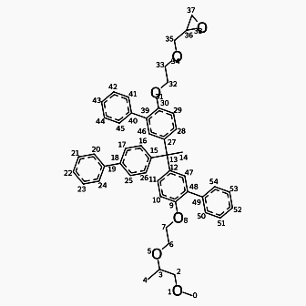 COCC(C)OCCOc1ccc(C(C)(c2ccc(-c3ccccc3)cc2)c2ccc(OCCOCC3CO3)c(-c3ccccc3)c2)cc1-c1ccccc1